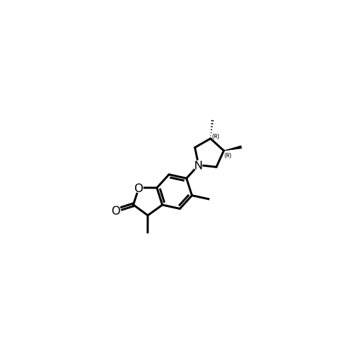 Cc1cc2c(cc1N1C[C@H](C)[C@@H](C)C1)OC(=O)C2C